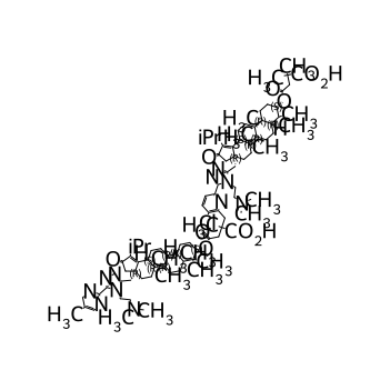 Cc1cnc(-c2nnc(C[C@@]34CC[C@]5(C)[C@H](CC[C@@H]6[C@@]7(C)CC[C@H](OC(=O)CC(C)(Cc8nc(-c9nnc(C[C@@]%10%11CC[C@]%12(C)[C@H](CCC%13[C@@]%14(C)CC[C@H](OC(=O)CC(C)(C)C(=O)O)C(C)(C)[C@@H]%14CC[C@]%13%12C)C%10=C(C(C)C)C(=O)C%11)n9CCN(C)C)ccc8Cl)C(=O)O)C(C)(C)C7CC[C@]65C)C3=C(C(C)C)C(=O)C4)n2CCN(C)C)nc1